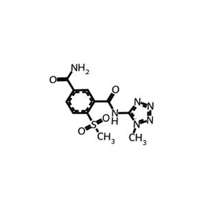 Cn1nnnc1NC(=O)c1cc(C(N)=O)ccc1S(C)(=O)=O